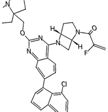 C=C(F)C(=O)N1CC[C@@H]2[C@H]1CN2c1nc(OCC23CCCN2CCC3)nc2cc(-c3cccc4cccc(Cl)c34)ccc12